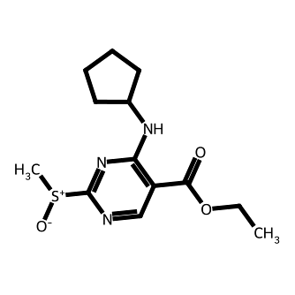 CCOC(=O)c1cnc([S+](C)[O-])nc1NC1CCCC1